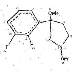 CCCN1CCC(OC)(c2cccc(F)c2F)C1